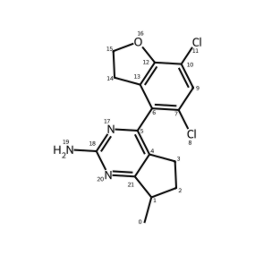 CC1CCc2c(-c3c(Cl)cc(Cl)c4c3CCO4)nc(N)nc21